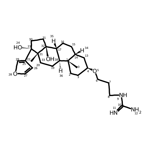 C[C@]12CC[C@H](OCCCNC(=N)N)C[C@H]1CC[C@@H]1[C@@H]2CC[C@]2(C)[C@@](O)(c3ccoc3)CC[C@]12O